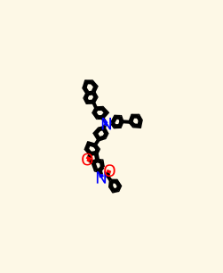 c1ccc(-c2ccc(N(c3ccc(-c4ccc5ccccc5c4)cc3)c3ccc(-c4ccc5oc6cc7nc(-c8ccccc8)oc7cc6c5c4)cc3)cc2)cc1